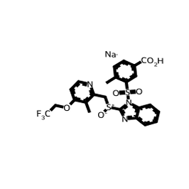 Cc1ccc(C(=O)O)cc1S(=O)(=O)n1c([S+]([O-])Cc2nccc(OCC(F)(F)F)c2C)nc2ccccc21.[Na]